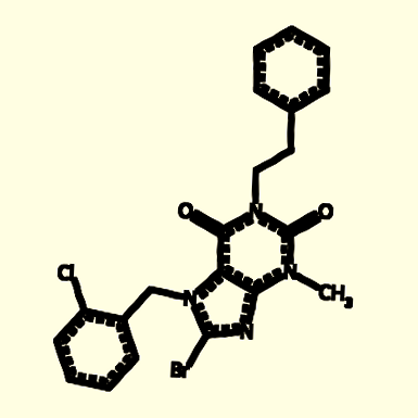 Cn1c(=O)n(CCc2ccccc2)c(=O)c2c1nc(Br)n2Cc1ccccc1Cl